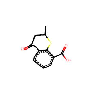 CC1CC(=O)c2cccc(C(=O)O)c2S1